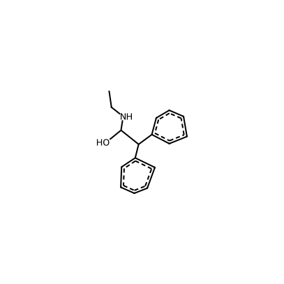 CCNC(O)C(c1ccccc1)c1ccccc1